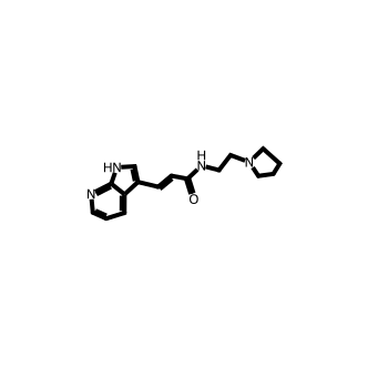 O=C(/C=C/c1c[nH]c2ncccc12)NCCN1CCCC1